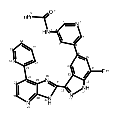 CCCC(=O)Nc1cncc(-c2cc(F)c3[nH]nc(-c4nc5c(-c6ccccn6)ccnc5[nH]4)c3c2)c1